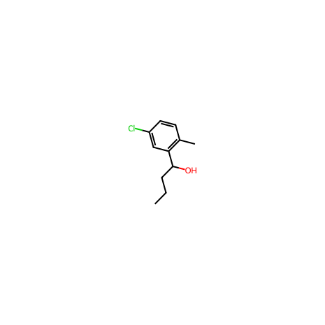 CCCC(O)c1cc(Cl)ccc1C